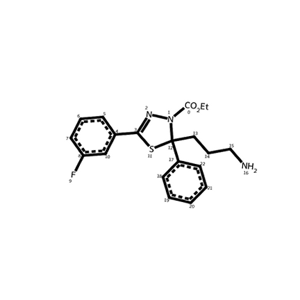 CCOC(=O)N1N=C(c2cccc(F)c2)SC1(CCCN)c1ccccc1